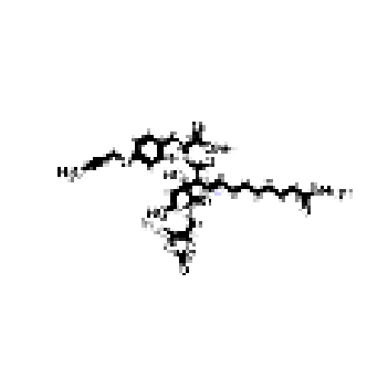 CC#CCOc1ccc(C[C@H](NC(=O)[C@@H](/C=C/CCCCCCC(=O)CCCCCCC)[C@@](O)(CCO)C(=O)OCc2oc(=O)oc2C)C(=O)OC)cc1